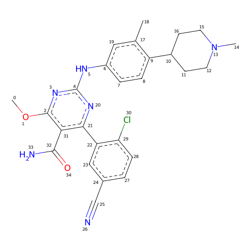 COc1nc(Nc2ccc(C3CCN(C)CC3)c(C)c2)nc(-c2cc(C#N)ccc2Cl)c1C(N)=O